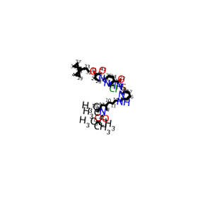 CC(C)(C)OC(=O)N1CC(CCCNc2cccc(SNC(=O)c3ccc(N4CCC(OCCC5C6(CC6)C56CC6)C4=O)nc3Cl)n2)CC1(C)C